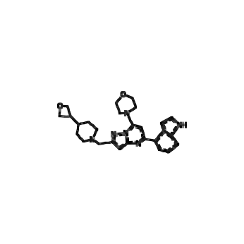 c1cc(-c2cc(N3CCOCC3)n3nc(CN4CCC(C5COC5)CC4)cc3n2)c2cc[nH]c2c1